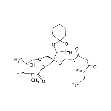 CCc1cn([C@@H]2O[C@](COCSC)(COC(=O)C(C)(C)C)C3OC4(CCCCC4)O[C@@H]32)c(=O)[nH]c1=O